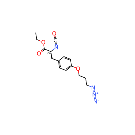 CCOC(=O)[C@H](Cc1ccc(OCCCN=[N+]=[N-])cc1)N=C=O